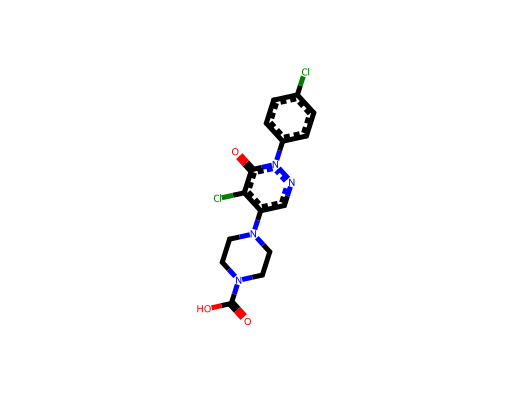 O=C(O)N1CCN(c2cnn(-c3ccc(Cl)cc3)c(=O)c2Cl)CC1